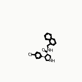 O=C(NCc1cccc2ccccc12)[C@@H]1CNC[C@H]1c1ccc(Cl)cc1